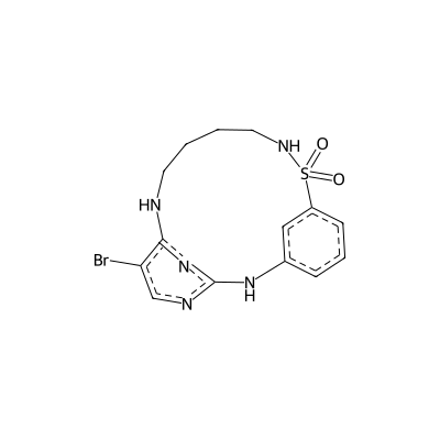 O=S1(=O)NCCCCNc2nc(ncc2Br)Nc2cccc1c2